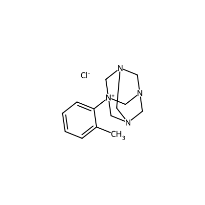 Cc1ccccc1[N+]12CN3CN(CN(C3)C1)C2.[Cl-]